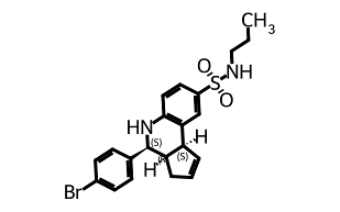 CCCNS(=O)(=O)c1ccc2c(c1)[C@H]1C=CC[C@H]1[C@@H](c1ccc(Br)cc1)N2